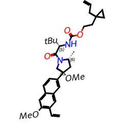 C=CCC1(CCOC(=O)N[C@H](C(=O)N2C[C@](OC)(c3ccc4cc(OC)c(C=C)cc4c3)C[C@H]2C)C(C)(C)C)CC1